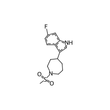 CS(=O)(=O)N1CCCC(c2c[nH]c3cc(F)ccc23)CC1